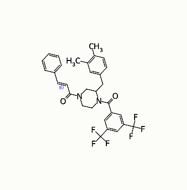 Cc1ccc(CC2CN(C(=O)/C=C/c3ccccc3)CCN2C(=O)c2cc(C(F)(F)F)cc(C(F)(F)F)c2)cc1C